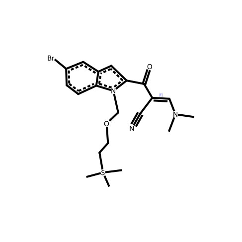 CN(C)/C=C(\C#N)C(=O)c1cc2cc(Br)ccc2n1COCCS(C)(C)C